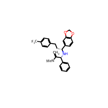 C=C(NC)[C@H](N[C@H](CCc1ccc(C(F)(F)F)cc1)c1ccc2c(c1)OCO2)c1ccccc1